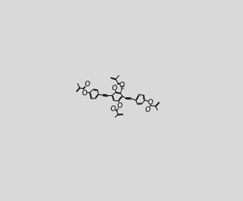 C=C(C)C(=O)Oc1ccc(C#Cc2cc(OC(=O)C(=C)C)c(C#Cc3ccc(OC(=O)C(=C)C)cc3)c(F)c2OC(=O)C(=C)C)cc1